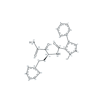 Cn1ncc(-c2ccccc2)c1C(=O)N[C@@H](CCc1ccccc1)C(=O)C(N)=O